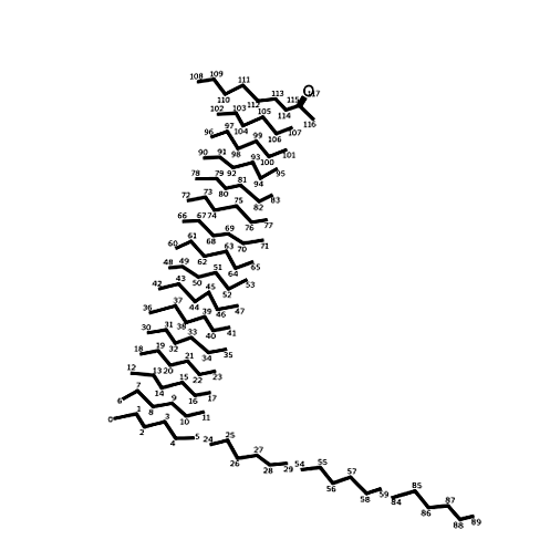 CCCCCC.CCCCCC.CCCCCC.CCCCCC.CCCCCC.CCCCCC.CCCCCC.CCCCCC.CCCCCC.CCCCCC.CCCCCC.CCCCCC.CCCCCC.CCCCCC.CCCCCC.CCCCCC.CCCCCC.CCCCCC.CCCCCCCC(C)=O